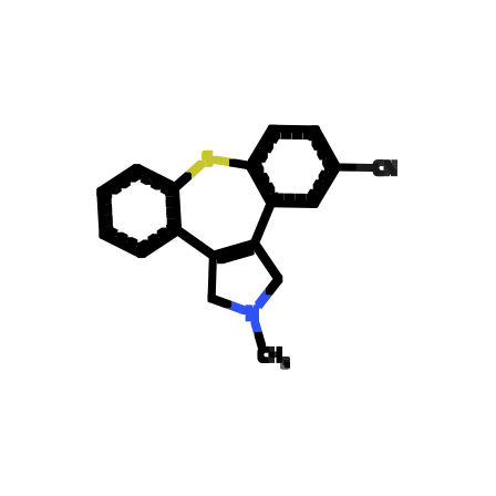 CN1CC2=C(C1)c1cc(C#N)ccc1Sc1ccccc12